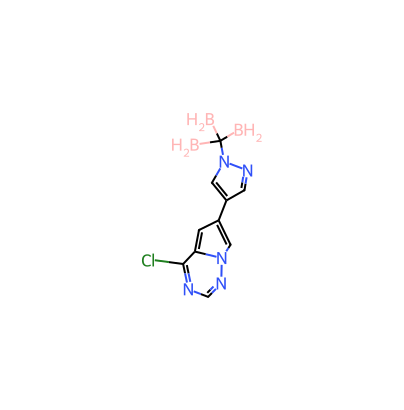 BC(B)(B)n1cc(-c2cc3c(Cl)ncnn3c2)cn1